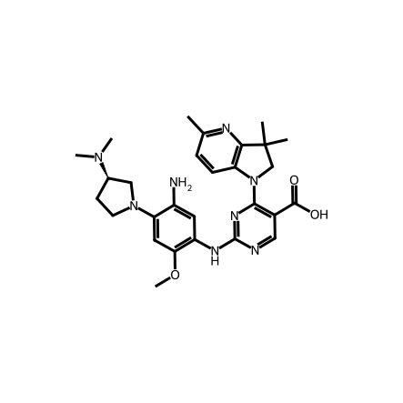 COc1cc(N2CC[C@@H](N(C)C)C2)c(N)cc1Nc1ncc(C(=O)O)c(N2CC(C)(C)c3nc(C)ccc32)n1